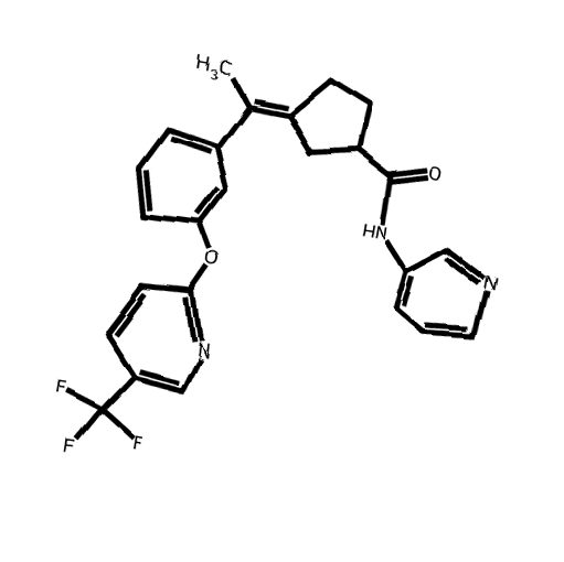 CC(=C1CCC(C(=O)Nc2cccnc2)C1)c1cccc(Oc2ccc(C(F)(F)F)cn2)c1